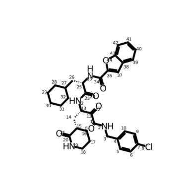 O=C(NCc1ccc(Cl)cc1)C(=O)[C@H](C[C@@H]1CCCNC1=O)NC(=O)[C@H](CC1CCCCC1)NC(=O)c1cc2ccccc2o1